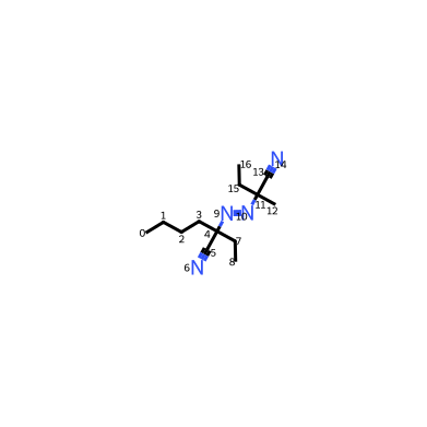 CCCCC(C#N)(CC)N=NC(C)(C#N)CC